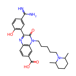 CC1CCCC(C)N1CCCCCn1c(=O)c(-c2cc(C(=N)N)ccc2O)nc2ccc(C(=O)O)cc21